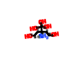 NC(CCO)(CCO)C(O)(O)O